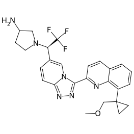 COCC1(c2cccc3ccc(-c4nnc5ccc([C@@H](N6CCC(N)C6)C(F)(F)F)cn45)nc23)CC1